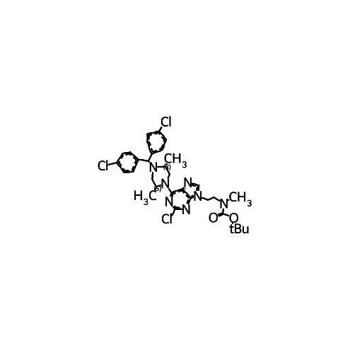 C[C@@H]1CN(c2nc(Cl)nc3c2ncn3CCN(C)C(=O)OC(C)(C)C)[C@@H](C)CN1C(c1ccc(Cl)cc1)c1ccc(Cl)cc1